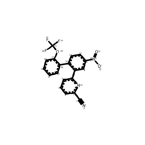 N#Cc1cccc(-c2cc([N+](=O)[O-])ccc2-c2ccccc2OC(F)(F)F)n1